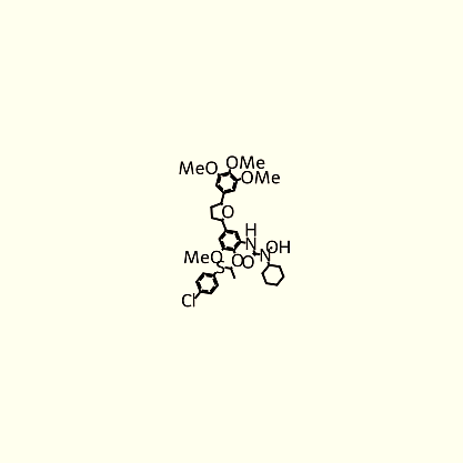 COc1cc(C2CCC(c3cc(OC)c(OC)c(OC)c3)O2)cc(NC(=O)N(O)C2CCCCC2)c1OC(C)Sc1ccc(Cl)cc1